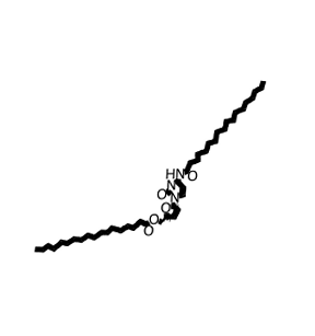 CCCCCCCCCCCCCCCCCC(=O)Nc1ccn([C@H]2C=C[C@@H](COC(=O)CCCCCCCCCCCCCCCCC)O2)c(=O)n1